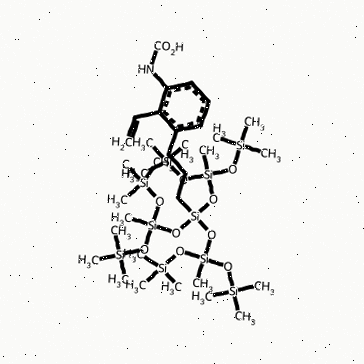 C=Cc1c(CCC[Si](O[Si](C)(O[Si](C)(C)C)O[Si](C)(C)C)(O[Si](C)(O[Si](C)(C)C)O[Si](C)(C)C)O[Si](C)(O[Si](C)(C)C)O[Si](C)(C)C)cccc1NC(=O)O